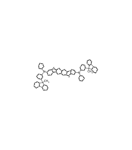 CC1(c2cccc(N(c3ccccc3)c3ccc4c(c3)sc3cc5cc6c(cc5cc34)sc3cc(N(c4ccccc4)c4cccc(C5(C)c7ccccc7-c7ccccc75)c4)ccc36)c2)c2ccccc2-c2ccccc21